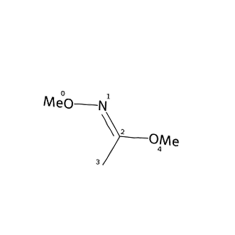 CO/N=C(\C)OC